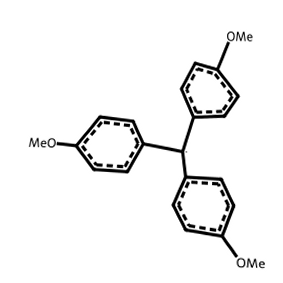 COc1ccc([C](c2ccc(OC)cc2)c2ccc(OC)cc2)cc1